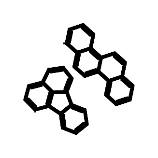 [c]1ccc2cccc3c2c1-c1ccccc1-3.[c]1cccc2c1ccc1c3ccccc3ccc21